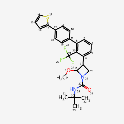 COC1C(c2cccc(-c3ccc(-c4cccs4)cc3)c2C(F)(F)F)CN1C(=O)NC(C)(C)C